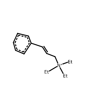 CC[N+](CC)(CC)CC=Cc1ccccc1